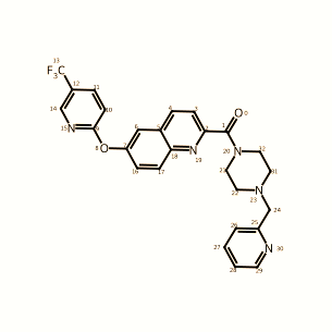 O=C(c1ccc2cc(Oc3ccc(C(F)(F)F)cn3)ccc2n1)N1CCN(Cc2ccccn2)CC1